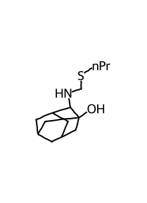 CCCSCNC1C2CC3CC(C2)CC1(O)C3